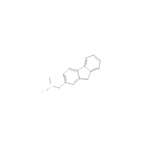 CCN(C)Cc1ccc2c(c1)Cc1ccccc1-2